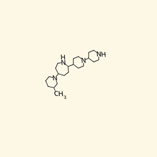 CC1CCCN(C2CCNC(C3CCN(C4CCNCC4)CC3)CC2)C1